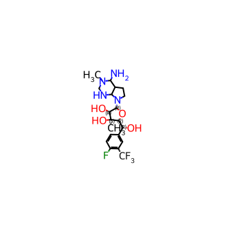 CN1CNC2C(CCN2[C@@H]2O[C@H]([C@H](O)c3ccc(F)c(C(F)(F)F)c3)[C@@](C)(O)[C@H]2O)C1N